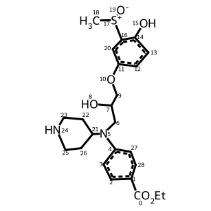 CCOC(=O)c1ccc(N(CC(O)COc2ccc(O)c([S+](C)[O-])c2)C2CCNCC2)cc1